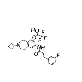 O=C(/C=C/c1cccc(F)c1)Nc1ccc2c(c1)CCN(C1CCC1)CC2.O=C(O)C(F)(F)F